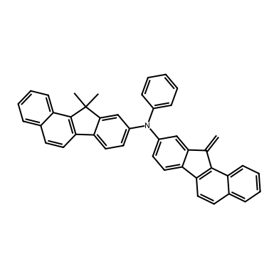 C=C1c2cc(N(c3ccccc3)c3ccc4c(c3)C(C)(C)c3c-4ccc4ccccc34)ccc2-c2ccc3ccccc3c21